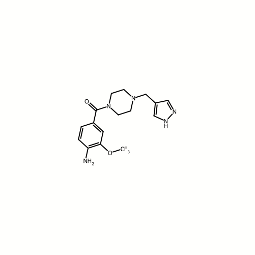 Nc1ccc(C(=O)N2CCN(Cc3cn[nH]c3)CC2)cc1OC(F)(F)F